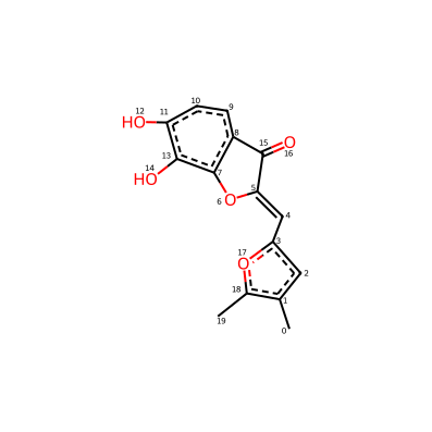 Cc1cc(C=C2Oc3c(ccc(O)c3O)C2=O)oc1C